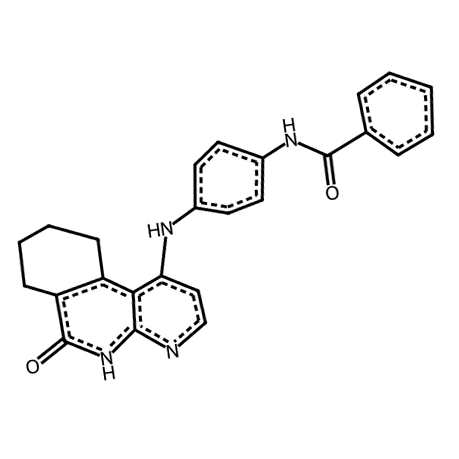 O=C(Nc1ccc(Nc2ccnc3[nH]c(=O)c4c(c23)CCCC4)cc1)c1ccccc1